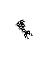 N#Cc1ccc2c(c1)c1c(C#N)cccc1n2-c1ccc(-c2ccc(-c3cccc(C#N)c3-n3c4ccccc4c4ccccc43)cc2)cc1